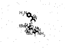 Cc1noc(-c2ccc(N)cc2)c1CSC[C@H]1O[C@@H](n2cc(I)c3c(N)ncnc32)[C@H](O[Si](C)(C)C(C)(C)C)[C@@H]1O[Si](C)(C)C(C)(C)C